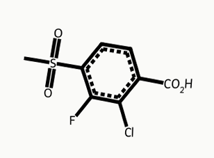 CS(=O)(=O)c1ccc(C(=O)O)c(Cl)c1F